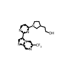 OCCC1CCN(c2ccnc(-c3cnc4cnc(C(F)(F)F)cn34)n2)C1